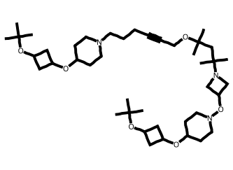 CC(C)(C)OC1CC(OC2CCN(CCCC#CCOC(C)(C)CC(C)(C)N3CC(ON4CCC(OC5CC(OC(C)(C)C)C5)CC4)C3)CC2)C1